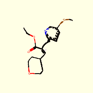 CCOC(=O)/C(=C\C1CCOCC1)c1ccc(SC)cn1